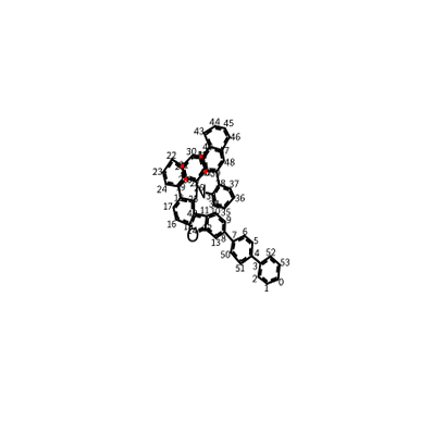 c1ccc(-c2ccc(-c3ccc4c(c3)oc3ccc(-c5ccccc5)c(N(c5ccccc5)c5ccccc5-c5ccc6ccccc6c5)c34)cc2)cc1